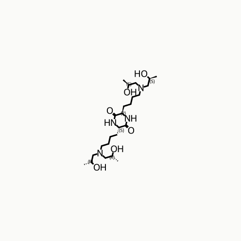 C[C@H](O)CN(CCCC[C@H]1NC(=O)[C@H](CCCCN(C[C@@H](C)O)C[C@@H](C)O)NC1=O)C[C@H](C)O